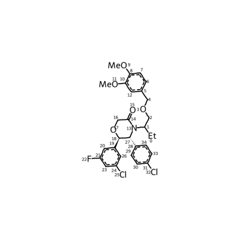 CCC(COCc1ccc(OC)c(OC)c1)N1C(=O)CO[C@H](c2cc(F)cc(Cl)c2)[C@H]1c1ccc(Cl)cc1